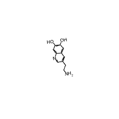 NCCc1cnc2cc(O)c(O)cc2c1